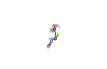 NS(=O)(=O)c1ccc(NCC#Cc2sc3c(NC4CCC(N5CC6(CCOCC6)C5)CC4)cccc3c2CC(F)(F)F)c(OC(F)F)c1